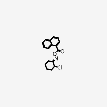 O=C(ON=C1CCCCC1Cl)c1cccc2ccccc12